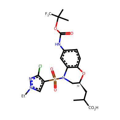 CCn1cc(S(=O)(=O)N2C[C@H](CC(C)C(=O)O)Oc3ccc(NC(=O)OC(C)(C)C(F)(F)F)cc32)c(Cl)n1